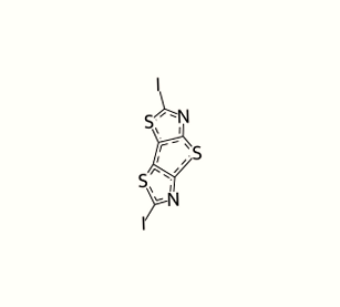 Ic1nc2sc3nc(I)sc3c2s1